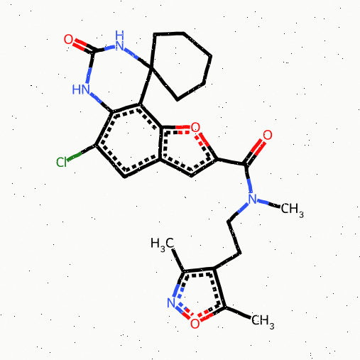 Cc1noc(C)c1CCN(C)C(=O)c1cc2cc(Cl)c3c(c2o1)C1(CCCCC1)NC(=O)N3